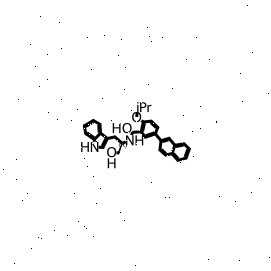 CC(C)Oc1ccc(-c2ccc3ccccc3c2)cc1C(O)N[C@@H](CO)Cc1c[nH]c2ccccc12